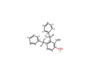 CCCc1c(O)ccc(C(C)(C)c2ccccc2)c1C(C)(C)c1ccccc1